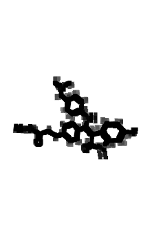 CNC(=O)CCc1ccc(C(Nc2ccc(CN(C)C)cc2)=C2C(=O)Nc3cc(F)ccc32)cc1